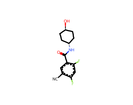 N#Cc1cc(C(=O)N[C@H]2CC[C@H](O)CC2)c(F)cc1F